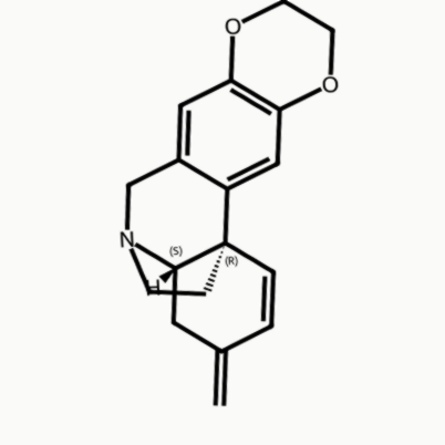 C=C1C=C[C@]23CCN(Cc4cc5c(cc42)OCCO5)[C@H]3C1